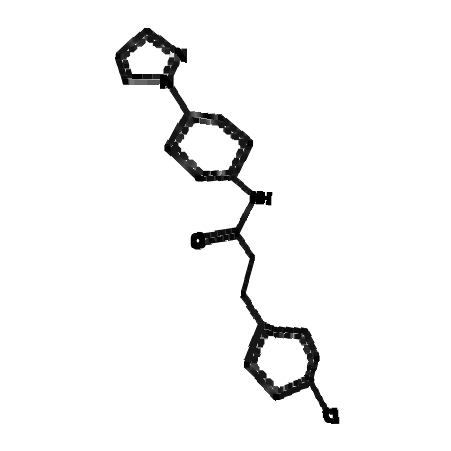 O=C(CCc1ccc(Cl)cc1)Nc1ccc(-n2cccn2)cc1